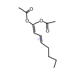 CCCC/C=C/C=C(OC(C)=O)OC(C)=O